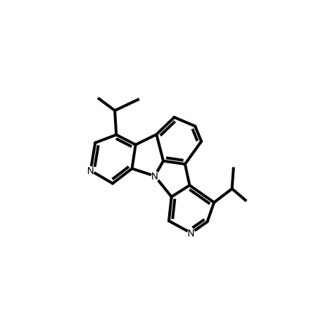 CC(C)c1cncc2c1c1cccc3c4c(C(C)C)cncc4n2c13